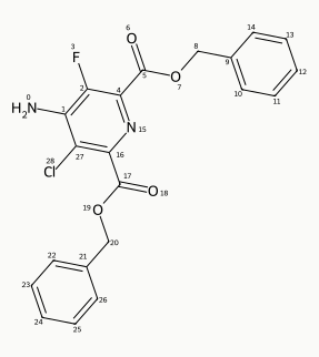 Nc1c(F)c(C(=O)OCc2ccccc2)nc(C(=O)OCc2ccccc2)c1Cl